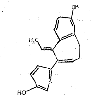 CC=C1C(c2ccc(O)cc2)=CCCc2cc(O)ccc21